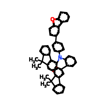 CC1(C)c2ccccc2-c2cc(-c3ccccc3N(c3ccc(-c4ccc5oc6ccccc6c5c4)cc3)c3cccc4c3-c3ccccc3C4(C)C)ccc21